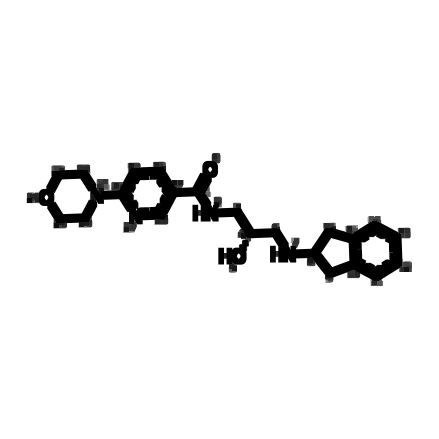 O=C(NC[C@@H](O)CNC1Cc2ccccc2C1)c1ccc(N2CCOCC2)nc1